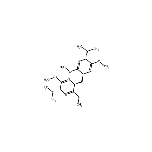 COC1=N[C@H](C(C)C)C(OC)=N[C@H]1C[C@@H]1N=C(OC)[C@@H](C(C)C)N=C1OC